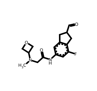 CN(CC(=O)Nc1cc(F)c2c(c1)CC(C=O)C2)C1COC1